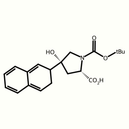 CC(C)(C)OC(=O)N1C[C@](O)(C2C=c3ccccc3=CC2)C[C@H]1C(=O)O